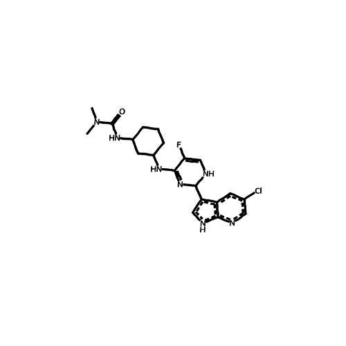 CN(C)C(=O)NC1CCCC(NC2=NC(c3c[nH]c4ncc(Cl)cc34)NC=C2F)C1